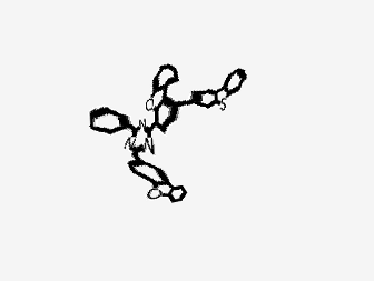 c1ccc(-c2nc(-c3ccc4oc5ccccc5c4c3)nc(-c3ccc(-c4ccc5c(c4)sc4ccccc45)c4c3oc3ccccc34)n2)cc1